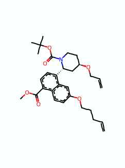 C=CCCCOc1ccc2c(C(=O)OC)ccc([C@H]3C[C@H](OCC=C)CCN3C(=O)OC(C)(C)C)c2c1